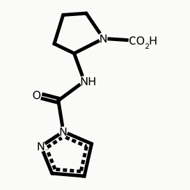 O=C(O)N1CCCC1NC(=O)n1cccn1